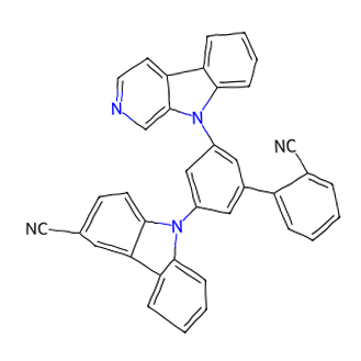 N#Cc1ccc2c(c1)c1ccccc1n2-c1cc(-c2ccccc2C#N)cc(-n2c3ccccc3c3ccncc32)c1